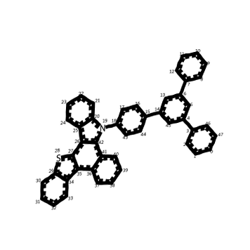 c1ccc(-c2cc(-c3ccccc3)cc(-c3ccc(-n4c5ccccc5c5c6sc7ccccc7c6c6ccccc6c54)cc3)c2)cc1